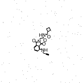 C#CCNc1cccc2c1C(=O)N(CC(=O)NC(=O)C1CCC1)C2=O